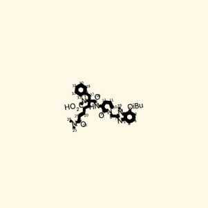 CC(C)COc1cccc2nc(Cn3cccc(NC(=O)C(CCC=CC(=O)N(C)C)(Cc4ccccc4)NC(=O)O)c3=O)n(C)c12